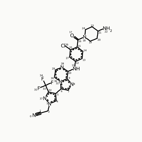 N#CCn1cc(-c2cnc3c(Nc4ccc(C(=O)N5CCC(N)CC5)c(Cl)c4)nccn23)c(C(F)(F)F)n1